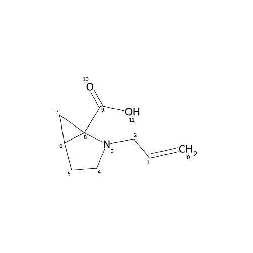 C=CCN1CCC2CC21C(=O)O